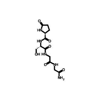 NC(=O)CNC(=O)CNC(=O)[C@H](CO)NC(=O)[C@@H]1CCC(=O)N1